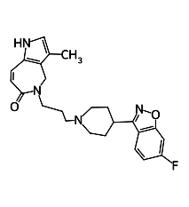 Cc1c[nH]c2c1CN(CCCN1CCC(c3noc4cc(F)ccc34)CC1)C(=O)C=C2